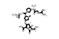 CCO.C[C@@H](O)[C@H]1C(=O)N2C(C(=O)O)=C(S[C@H]3C[C@@H](C(=O)N4CC[C@H](NC(=O)CNC(=N)N)C4)N(C)C3)[C@H](C)[C@H]12.O.O.O